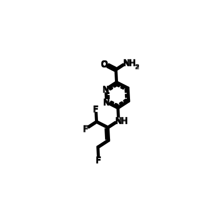 NC(=O)c1ccc(NC(=CCF)C(F)F)nn1